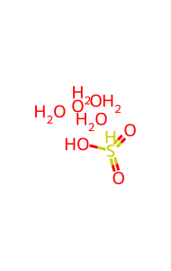 O.O.O.O.O=[SH](=O)O